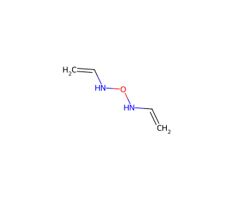 C=CNONC=C